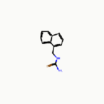 NC(=S)NCc1cccc2ccccc12